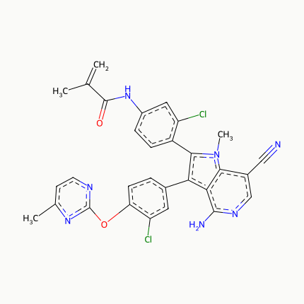 C=C(C)C(=O)Nc1ccc(-c2c(-c3ccc(Oc4nccc(C)n4)c(Cl)c3)c3c(N)ncc(C#N)c3n2C)c(Cl)c1